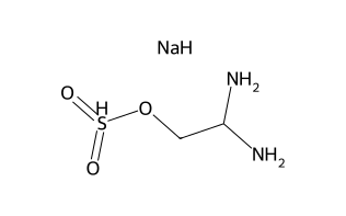 NC(N)CO[SH](=O)=O.[NaH]